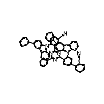 N#Cc1ccc(-n2c3ccccc3c3cc(-c4ccccc4)ccc32)c(-c2nc(-c3ccccc3)nc(-c3ccc(-c4ccccc4C#N)cc3-n3c4ccccc4c4cc(-c5ccccc5)ccc43)n2)c1